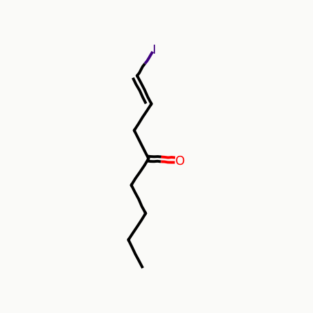 CCCCC(=O)CC=CI